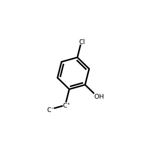 [CH2-][CH+]c1ccc(Cl)cc1O